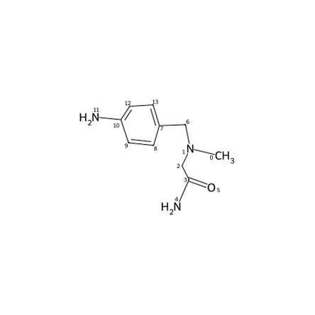 CN(CC(N)=O)Cc1ccc(N)cc1